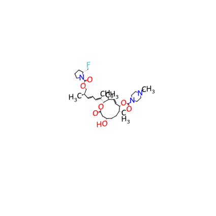 C/C(=C\C=C\[C@@H](C)COC(=O)N1CCC[C@@H]1CF)[C@H]1OC(=O)C[C@@H](O)CC[C@@H](C)[C@@H](OC(=O)N2CCN(C)CC2)/C=C/[C@@H]1C